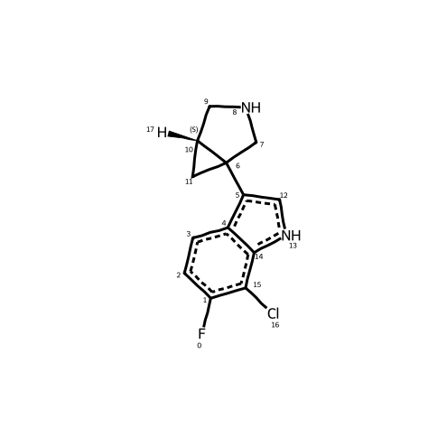 Fc1ccc2c(C34CNC[C@H]3C4)c[nH]c2c1Cl